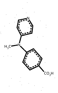 CN(c1ccncc1)c1ccc(C(=O)O)cc1